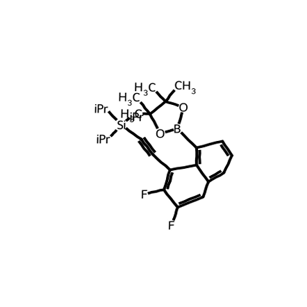 CC(C)[Si](C#Cc1c(F)c(F)cc2cccc(B3OC(C)(C)C(C)(C)O3)c12)(C(C)C)C(C)C